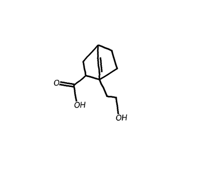 O=C(O)C1CC2C=CC1(CCO)CC2